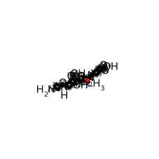 Cc1cc(N=Nc2c(S(=O)(=O)O)cc3cc(NC(=O)c4ccc(N)cc4)ccc3c2O)c(O)cc1N=Nc1ccc2cc(S(=O)(=O)O)ccc2c1